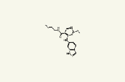 COCCNC(=O)c1cnc(SC)nc1Nc1ccc2cn[nH]c2c1